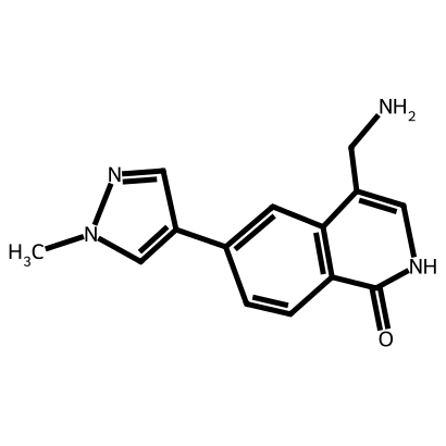 Cn1cc(-c2ccc3c(=O)[nH]cc(CN)c3c2)cn1